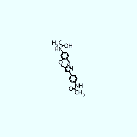 CC(=O)Nc1ccc(-c2cc3n(n2)Cc2ccc(NC(C)O)cc2OC3)cc1